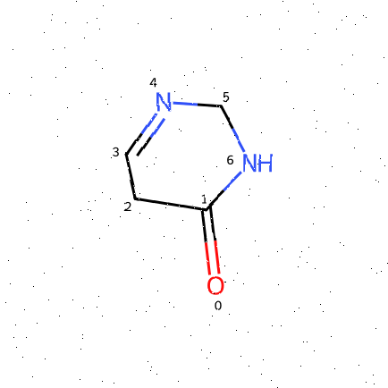 O=C1CC=NCN1